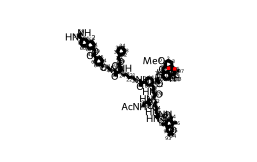 COc1ccc2c3c1O[C@H]1C(OC(=O)N4CCC(C(=O)NCCCCC[C@H](NC(=O)OCc5ccccc5)C(=O)NCCOc5ccc(C(=O)Oc6ccc7cc(C(=N)N)ccc7c6)cc5)CC4CNC(=O)[C@@H](CCCNC(=N)NS(=O)(=O)c4c(C)c(C)c5c(c4C)CC(C)(C)O5)NC(=O)CNC(C)=O)=CC[C@H]4[C@@H](C2)N(C)CC[C@]314